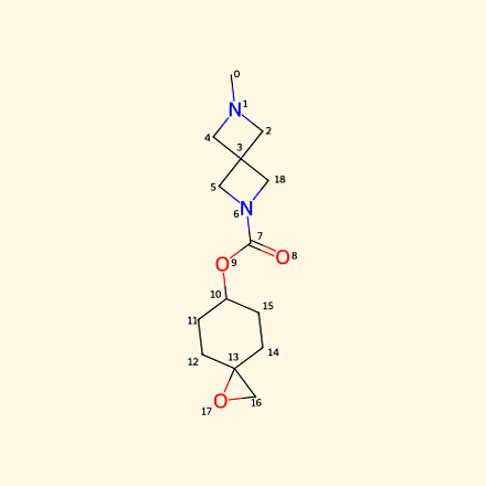 CN1CC2(C1)CN(C(=O)OC1CCC3(CC1)CO3)C2